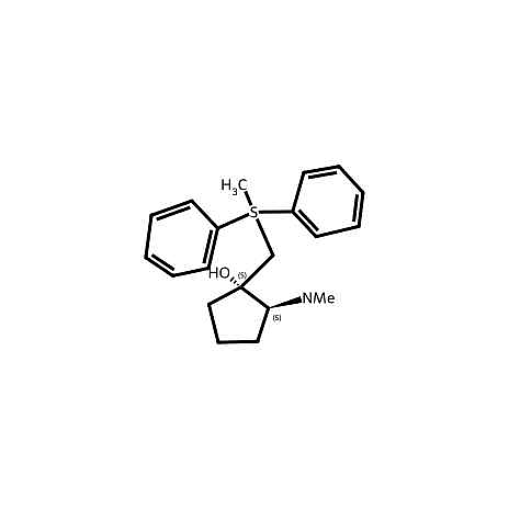 CN[C@H]1CCC[C@@]1(O)CS(C)(c1ccccc1)c1ccccc1